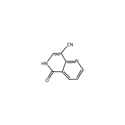 N#Cc1c[nH]c(=O)c2cccnc12